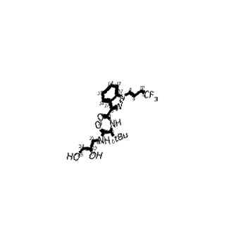 CC(C)(C)C(NC(=O)c1nn(CCCC(F)(F)F)c2ccccc12)C(=O)NCC(O)CO